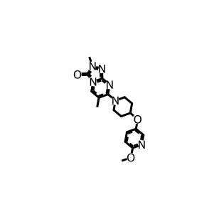 COc1ccc(OC2CCN(c3nc4nn(C)c(=O)n4cc3C)CC2)cn1